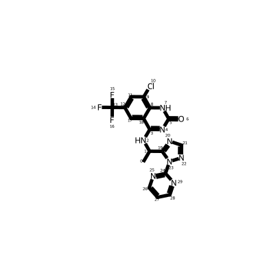 CC(Nc1nc(=O)[nH]c2c(Cl)cc(C(F)(F)F)cc12)c1ncnn1-c1ncccn1